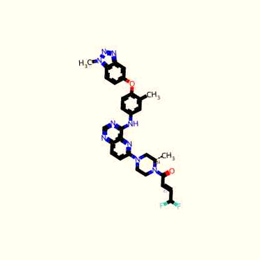 Cc1cc(Nc2ncnc3ccc(N4CCN(C(=O)/C=C/C(F)F)[C@@H](C)C4)nc23)ccc1Oc1ccc2c(c1)nnn2C